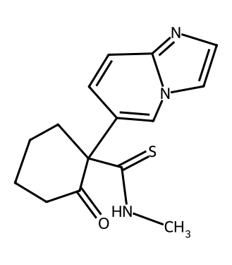 CNC(=S)C1(c2ccc3nccn3c2)CCCCC1=O